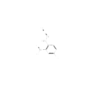 O=C=NNc1ccc(Cl)cc1[N+](=O)[O-]